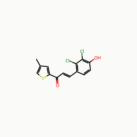 Cc1csc(C(=O)C=Cc2ccc(O)c(Cl)c2Cl)c1